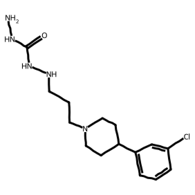 NNC(=O)NNCCCN1CCC(c2cccc(Cl)c2)CC1